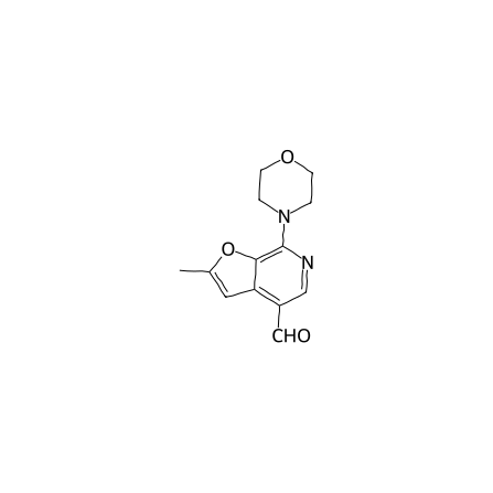 Cc1cc2c(C=O)cnc(N3CCOCC3)c2o1